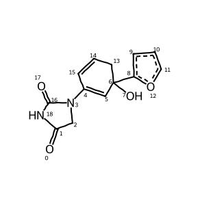 O=C1CN(C2=CC(O)(c3ccco3)CC=C2)C(=O)N1